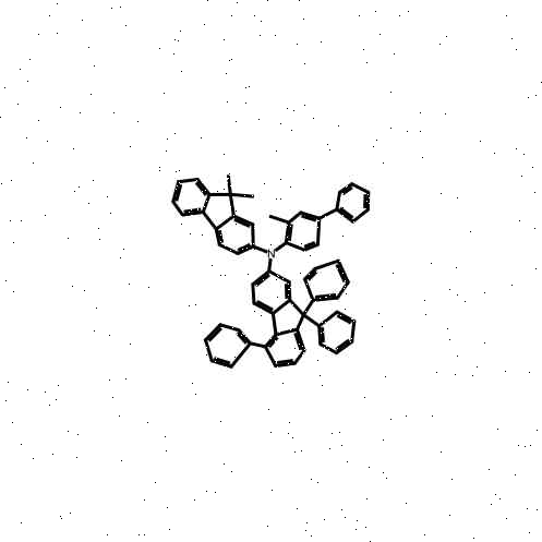 Cc1cc(-c2ccccc2)ccc1N(c1ccc2c(c1)C(C)(C)c1ccccc1-2)c1ccc2c(c1)C(c1ccccc1)(c1ccccc1)c1cccc(-c3ccccc3)c1-2